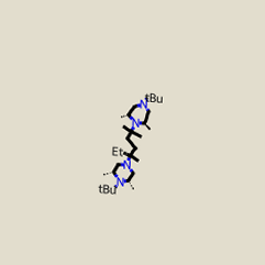 CCC(C)(CCC(C)(C)N1[C@H](C)CN(C(C)(C)C)C[C@H]1C)N1C[C@@H](C)N(C(C)(C)C)[C@@H](C)C1